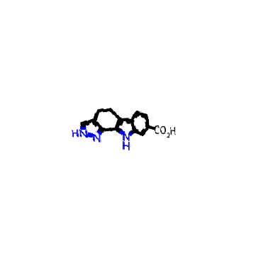 O=C(O)c1ccc2c3c([nH]c2c1)-c1n[nH]cc1CC3